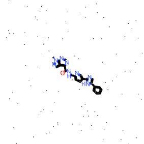 Cn1ncc2c(C(=O)NCc3ccc(-c4ncc(-c5ccccc5)[nH]4)cn3)ncnc21